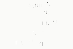 CC(=O)Nc1nccc(C(=O)NCc2cnc(OCC(F)(F)F)c(Cl)c2)n1